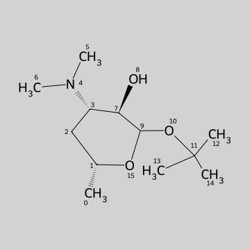 C[C@@H]1C[C@H](N(C)C)[C@@H](O)C(OC(C)(C)C)O1